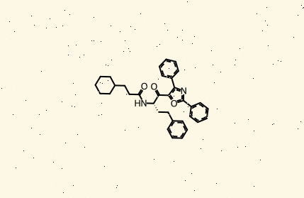 O=C([CH]CC1CCCCC1)N[C@@H](CCc1ccccc1)C(=O)c1oc(-c2ccccc2)nc1-c1ccccc1